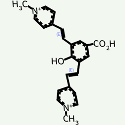 C[n+]1ccc(/C=C/c2cc(C(=O)O)cc(/C=C/c3cc[n+](C)cc3)c2O)cc1